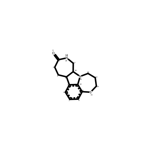 O=C1CCC2c3cccc4c3N(CCCS4)C2CN1